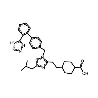 CC(C)Cc1nc(CCC2CCC(C(=O)O)CC2)n(Cc2ccc(-c3ccccc3-c3nnn[nH]3)cc2)n1